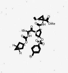 C=C[C@@H]1C[C@]1(NC(=O)[C@@H]1C[C@@H](OS(=O)(=O)c2ccc(Br)cc2)CN1C(=O)[C@@H](NC(=O)O[C@@H]1C[C@@H]2C[C@@H]2C1)C(C)(C)C)C(=O)OC